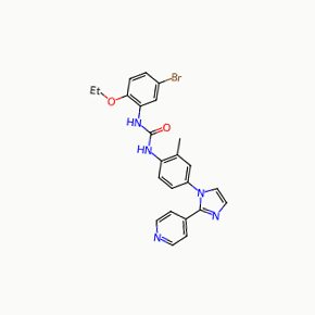 CCOc1ccc(Br)cc1NC(=O)Nc1ccc(-n2ccnc2-c2ccncc2)cc1C